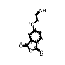 N=CCOc1ccc2c(c1)C(=O)OC2=O